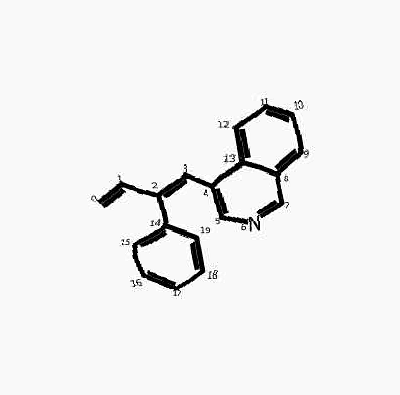 C=CC(=[C]c1cncc2ccccc12)c1ccccc1